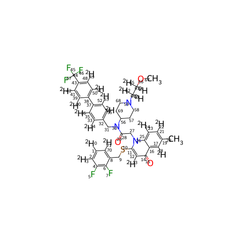 [2H]c1c([2H])c(F)c(F)c(CSc2c([2H])c(=O)c3c([2H])c(C)c([2H])c([2H])c3n2CC(=O)N(Cc2c([2H])c([2H])c(-c3c([2H])c([2H])c(C(F)(F)F)c([2H])c3[2H])c([2H])c2[2H])C2CCN(C([2H])([2H])C([2H])([2H])OC)CC2)c1[2H]